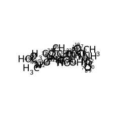 Cc1c(Nc2nc3ccccc3s2)nnc2c1CCCN2c1ccc(-c2cnn(CC34CC5(C)CC(C)(C3)CC(OCCN(C)CCC(=O)O)(C5)C4)c2C)c(C(O)O)n1